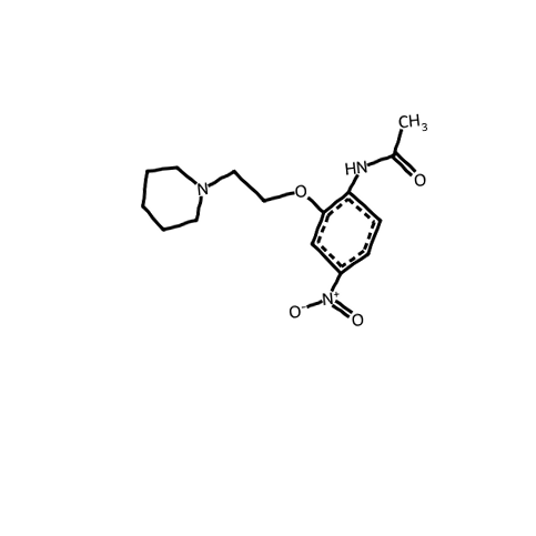 CC(=O)Nc1ccc([N+](=O)[O-])cc1OCCN1CCCCC1